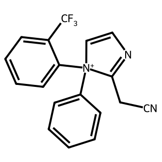 N#CCC1=NC=C[N+]1(c1ccccc1)c1ccccc1C(F)(F)F